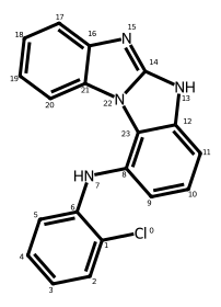 Clc1ccccc1Nc1cccc2[nH]c3nc4ccccc4n3c12